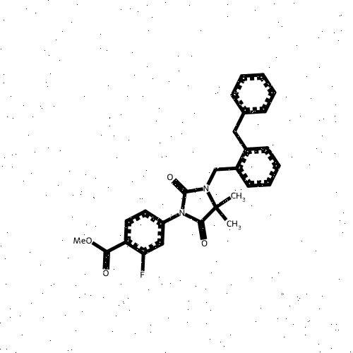 COC(=O)c1ccc(N2C(=O)N(Cc3ccccc3Cc3ccccc3)C(C)(C)C2=O)cc1F